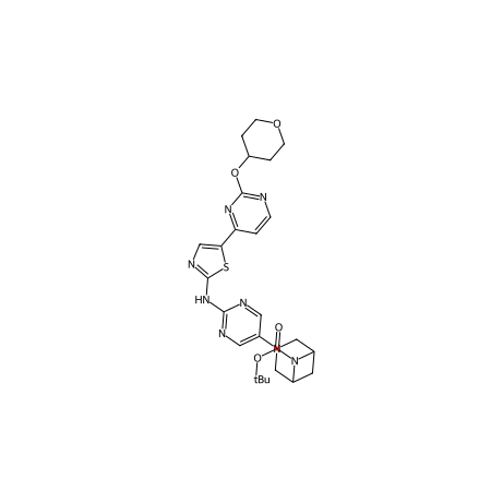 CC(C)(C)OC(=O)N1C2CC1CN(c1cnc(Nc3ncc(-c4ccnc(OC5CCOCC5)n4)s3)nc1)C2